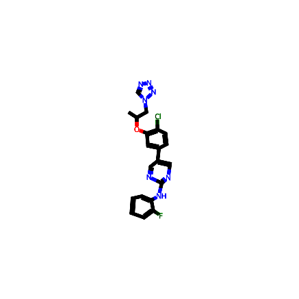 CC(Cn1cnnn1)Oc1cc(-c2cnc(Nc3ccccc3F)nc2)ccc1Cl